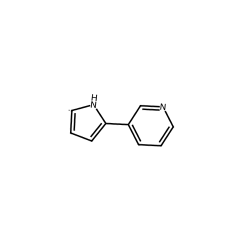 [c]1ccc(-c2cccnc2)[nH]1